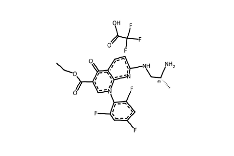 CCOC(=O)c1cn(-c2c(F)cc(F)cc2F)c2nc(NC[C@@H](C)N)ccc2c1=O.O=C(O)C(F)(F)F